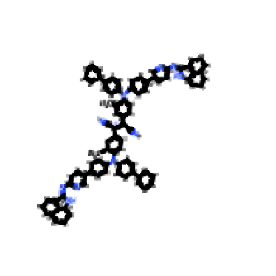 Cc1cc(/C(C#N)=C(\C#N)c2ccc(N(c3ccc(-c4ccccc4)cc3)c3ccc(-c4ccc(/N=C5\Nc6cccc7cccc5c67)nc4)cc3)c(C)c2)ccc1N(c1ccc(-c2ccccc2)cc1)c1ccc(-c2ccc(/N=C3\Nc4cccc5cccc3c45)nc2)cc1